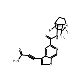 C[C@H]1[C@H](NC(=O)c2cc3c(C#CC(N)=O)coc3cn2)C2CCN1CC2